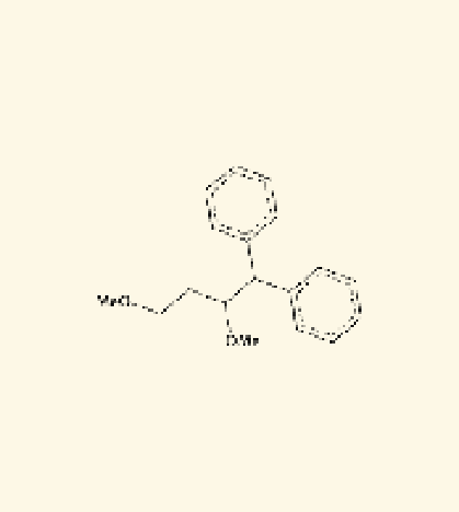 COCCC(OC)C(c1ccccc1)c1ccccc1